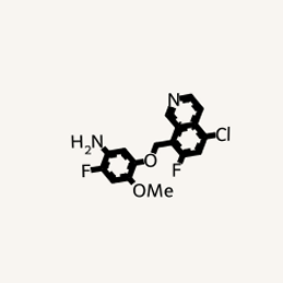 COc1cc(F)c(N)cc1OCc1c(F)cc(Cl)c2ccncc12